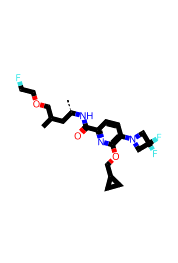 CC(COCCF)C[C@H](C)NC(=O)c1ccc(N2CC(F)(F)C2)c(OCC2CC2)n1